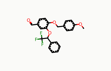 COc1ccc(COc2ccc(C=O)cc2OC(c2ccccc2)C(F)(F)F)cc1